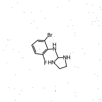 Fc1cccc(Br)c1NC1NCCN1